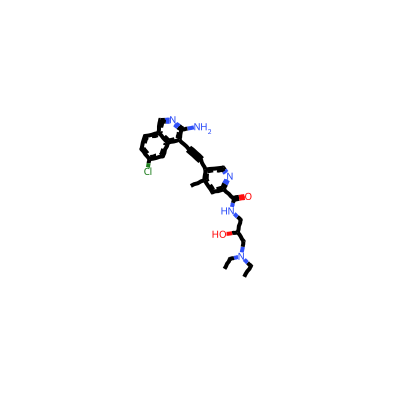 CCN(CC)CC(O)CNC(=O)c1cc(C)c(C#Cc2c(N)ncc3ccc(Cl)cc23)cn1